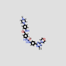 CCc1nc(-c2ccc(NC(=O)Nc3ccc(C(=O)Nc4ccc(N5CCN(C)CC5)cc4)cc3)cc2)nc(N2CCOCC2)n1